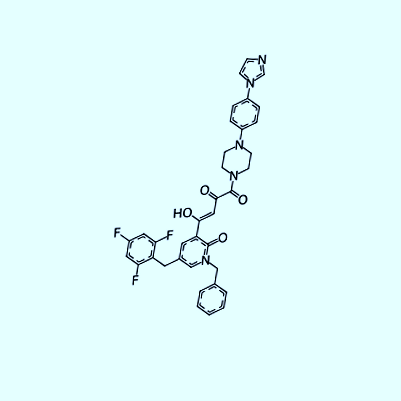 O=C(C=C(O)c1cc(Cc2c(F)cc(F)cc2F)cn(Cc2ccccc2)c1=O)C(=O)N1CCN(c2ccc(-n3ccnc3)cc2)CC1